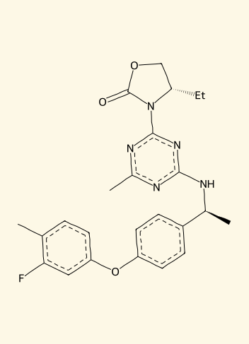 CC[C@H]1COC(=O)N1c1nc(C)nc(N[C@@H](C)c2ccc(Oc3ccc(C)c(F)c3)cc2)n1